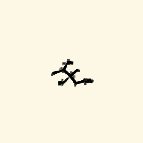 CC[C@H](C)[C@H](C)[C@@](C)(CNC)C(C)C